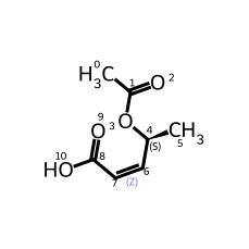 CC(=O)O[C@@H](C)/C=C\C(=O)O